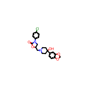 O=C1OC(CN2CCC(O)(c3ccc4c(c3)OCO4)CC2)CN1c1ccc(Cl)cc1